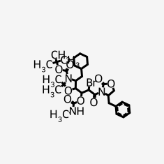 CNC(=O)OC(C(Br)C(=O)N1C(=O)OCC1Cc1ccccc1)C1OC(C)(C)N(C(=O)OC(C)(C)C)C1CC1CCCCC1